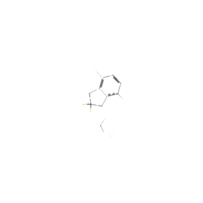 COCO[C@H]1c2c(Cl)ccc(Br)c2CC1(F)F